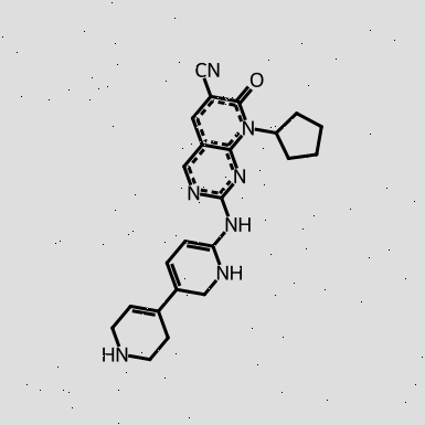 N#Cc1cc2cnc(NC3=CC=C(C4=CCNCC4)CN3)nc2n(C2CCCC2)c1=O